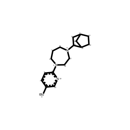 CC(C)(C)c1ccc(N2CCCN(C3CC4CCC3C4)CC2)nc1